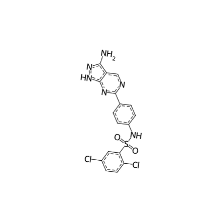 Nc1n[nH]c2nc(-c3ccc(NS(=O)(=O)c4cc(Cl)ccc4Cl)cc3)ncc12